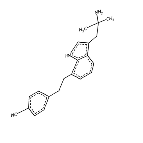 CC(C)(N)Cc1c[nH]c2c(CCc3ccc(C#N)cc3)cccc12